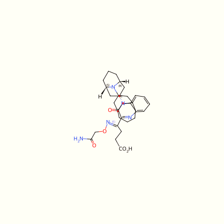 NC(=O)CO/N=C(\CCC(=O)O)c1nc2ccccc2n([C@H]2C[C@H]3CCC[C@@H](C2)N3C2CC3CCCCC(C3)C2)c1=O